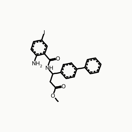 COC(=O)CC(NC(=O)c1cc(I)ccc1N)c1ccc(-c2ccccc2)cc1